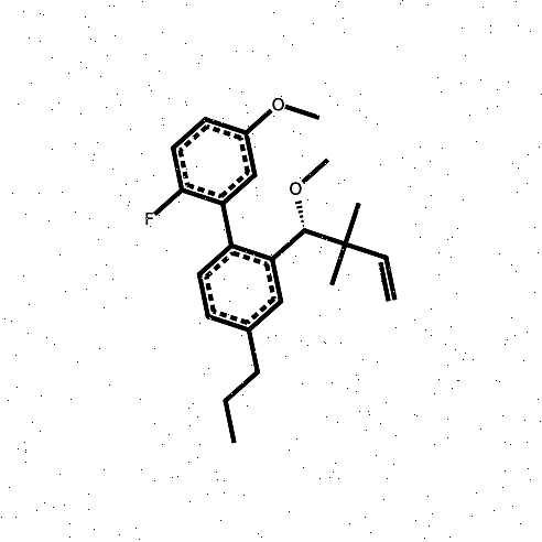 C=CC(C)(C)[C@@H](OC)c1cc(CCC)ccc1-c1cc(OC)ccc1F